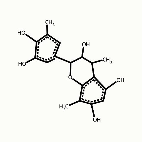 Cc1cc(C2Oc3c(C)c(O)cc(O)c3C(C)C2O)cc(O)c1O